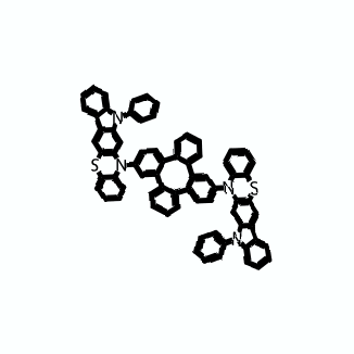 c1ccc(-n2c3ccccc3c3cc4c(cc32)N(c2ccc3c(c2)-c2ccccc2-c2ccc(N5c6ccccc6Sc6cc7c8ccccc8n(-c8ccccc8)c7cc65)cc2-c2ccccc2-3)c2ccccc2S4)cc1